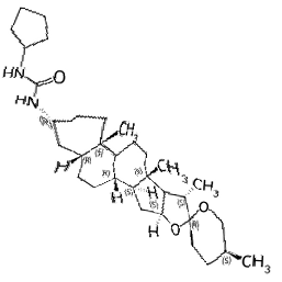 C[C@H]1CC[C@@]2(OC1)O[C@H]1C[C@H]3[C@@H]4CC[C@@H]5C[C@H](NC(=O)NC6CCCC6)CC[C@]5(C)C4CC[C@]3(C)C1[C@@H]2C